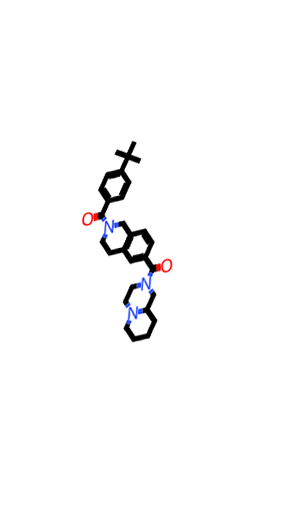 CC(C)(C)c1ccc(C(=O)N2CCc3cc(C(=O)N4CCN5CCCCC5C4)ccc3C2)cc1